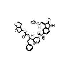 CC(C)CN(CC(O)C(Cc1ccccc1)NC(=O)OC1COC2OCCC12)S(=O)(=O)c1ccc2c(c1)/C(=C\NC(C)(C)C)C(=O)N2